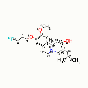 COc1cc2c(cc1OCCC[18F])CCN1C[C@@H](CC(C)C)[C@H](O)C[C@H]21